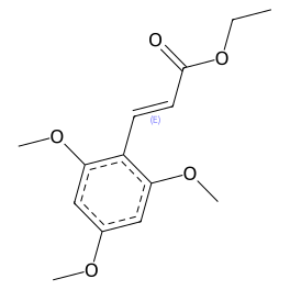 CCOC(=O)/C=C/c1c(OC)cc(OC)cc1OC